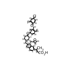 C/C(=C\C(=O)O)c1ccc2nc(CN3CCC(Oc4ccc(F)c(COc5ccc(Cl)cc5F)n4)CC3)n(C[C@@H]3CCO3)c2c1